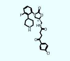 O=C(CCC(=O)c1ccc(Cl)cc1)NC[C@H]1CN(c2cccc(F)c2C2CCNCC2)C(=O)O1